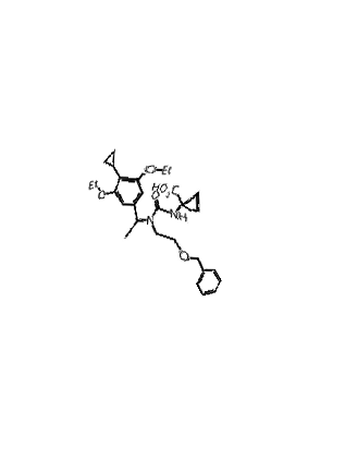 CCOc1cc(C(C)N(CCOCc2ccccc2)C(=O)NC2(C(=O)O)CC2)cc(OCC)c1C1CC1